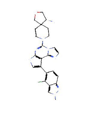 Cn1cc2c(Cl)c(-c3c[nH]c4nc(N5CCC6(CC5)COC[C@H]6N)n5ccnc5c34)ccc2n1